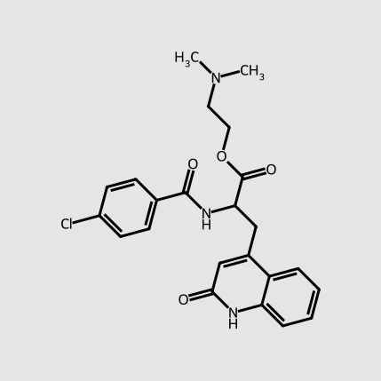 CN(C)CCOC(=O)C(Cc1cc(=O)[nH]c2ccccc12)NC(=O)c1ccc(Cl)cc1